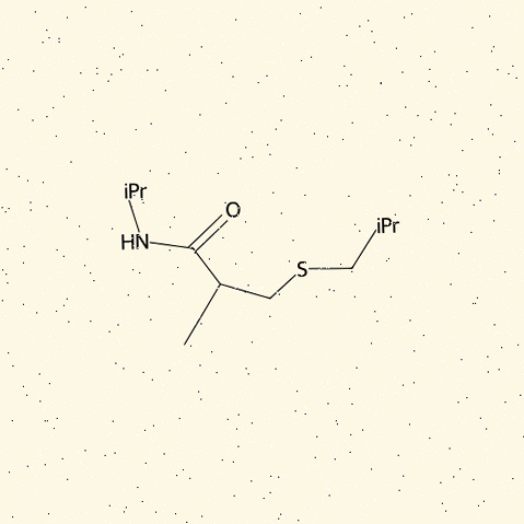 CC(C)CSCC(C)C(=O)NC(C)C